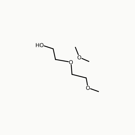 COC.COCCOCCO